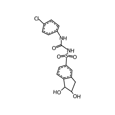 O=C(Nc1ccc(Cl)cc1)NS(=O)(=O)c1ccc2c(c1)CC(O)C2O